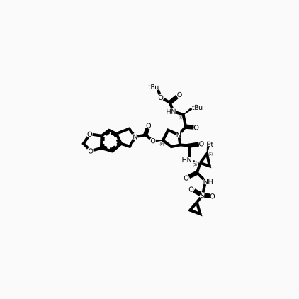 CC[C@H]1C[C@@]1(NC(=O)C1C[C@@H](OC(=O)N2Cc3cc4c(cc3C2)OCO4)CN1C(=O)[C@@H](NC(=O)OC(C)(C)C)C(C)(C)C)C(=O)NS(=O)(=O)C1CC1